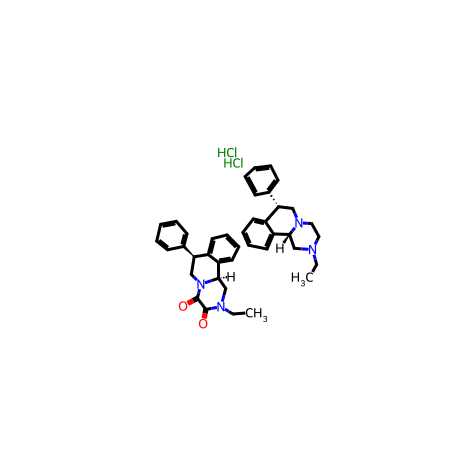 CCN1CCN2C[C@@H](c3ccccc3)c3ccccc3[C@H]2C1.CCN1C[C@@H]2c3ccccc3[C@H](c3ccccc3)CN2C(=O)C1=O.Cl.Cl